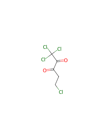 O=C(CCCl)C(=O)C(Cl)(Cl)Cl